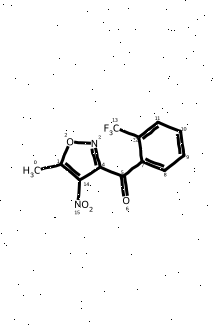 Cc1onc(C(=O)c2ccccc2C(F)(F)F)c1[N+](=O)[O-]